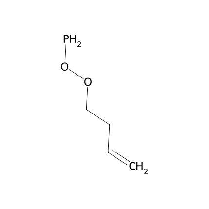 C=CCCOOP